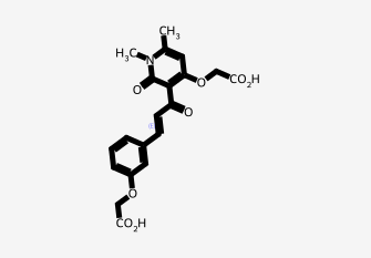 Cc1cc(OCC(=O)O)c(C(=O)/C=C/c2cccc(OCC(=O)O)c2)c(=O)n1C